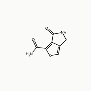 NC(=O)c1scc2c1C(=O)NC2